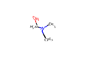 CN(C)[SiH2]O